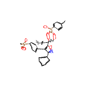 [2H]C([2H])(OS(=O)(=O)c1ccc(C)cc1)c1onc(-c2ccccc2)c1-c1ccc(S(C)(=O)=O)cc1